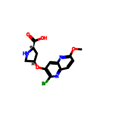 COc1ccc2nc(Br)c(O[C@H]3CN[C@H](C(=O)O)C3)cc2n1